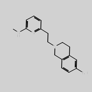 Nc1ccc2c(c1)CCN(CCc1cccc(NC(=O)O)n1)C2